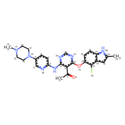 CC(=O)c1c(Nc2ccc(N3CCN(C)CC3)cn2)ncnc1Oc1ccc2[nH]c(C)cc2c1F